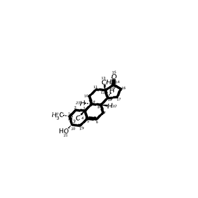 C[C@@H]1C[C@@]2(C)C(=CC[C@@H]3[C@@H]2CC[C@]2(C)C(=O)CC[C@@H]32)C[C@@H]1O